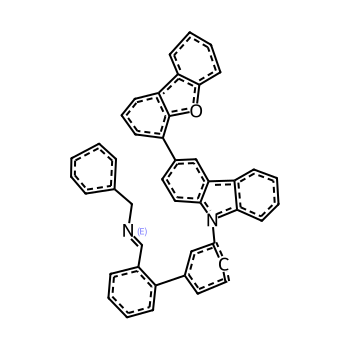 C(=N\Cc1ccccc1)/c1ccccc1-c1cccc(-n2c3ccccc3c3cc(-c4cccc5c4oc4ccccc45)ccc32)c1